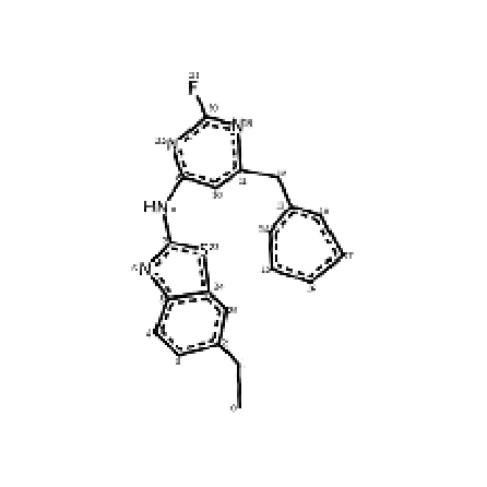 CCc1ccc2nc(Nc3cc(Cc4ccccc4)nc(F)n3)sc2c1